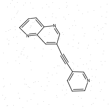 C(#Cc1cnc2cccnc2c1)c1cccnc1